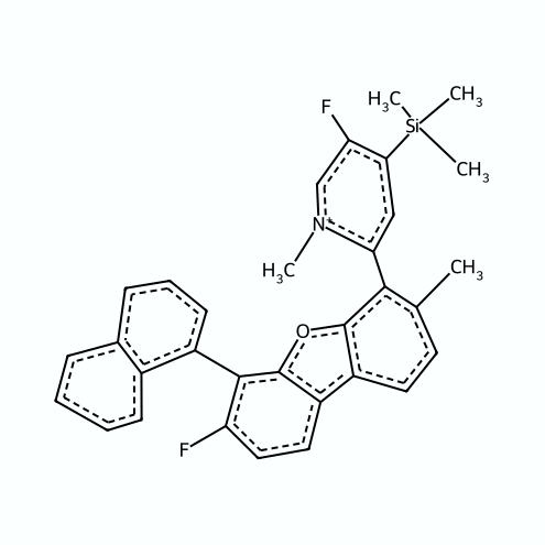 Cc1ccc2c(oc3c(-c4cccc5ccccc45)c(F)ccc32)c1-c1cc([Si](C)(C)C)c(F)c[n+]1C